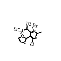 CCOC(=O)C(C(=O)OCC)c1nc(C)nc(Cl)c1C1OCCO1